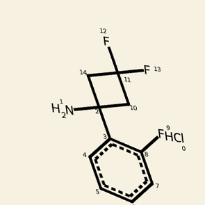 Cl.NC1(c2ccccc2F)CC(F)(F)C1